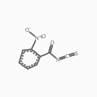 O=C(N=C=S)c1ccccc1[N+](=O)[O-]